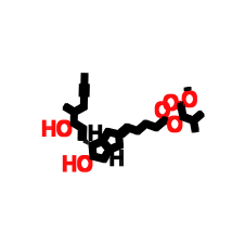 CC#CCC(C)[C@H](O)C=C[C@@H]1[C@H]2CC(=CCCCC(=O)O[C@H](C(=O)OC)C(C)C)C[C@H]2C[C@H]1O